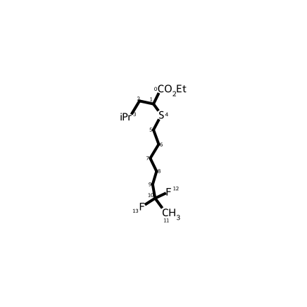 CCOC(=O)C(CC(C)C)SCCCCCC(C)(F)F